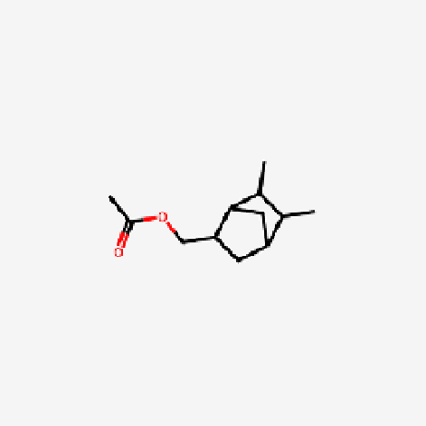 CC(=O)OCC1CC2CC1C(C)C2C